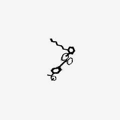 CCCCCCc1ccccc1OC(=O)c1ccc(C(C)OC)cc1